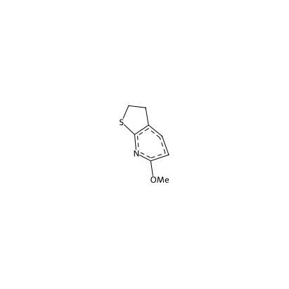 COc1ccc2c(n1)SCC2